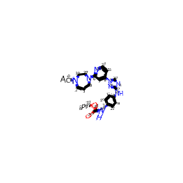 CC(=O)N1CCCN(c2cc(-n3cnc(Nc4ccc(NC(=O)OC(C)C)cc4)n3)ccn2)CC1